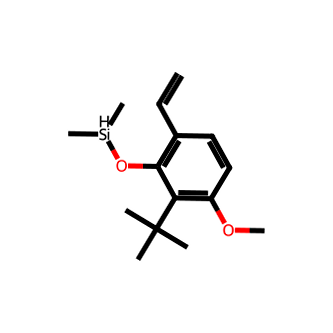 C=Cc1ccc(OC)c(C(C)(C)C)c1O[SiH](C)C